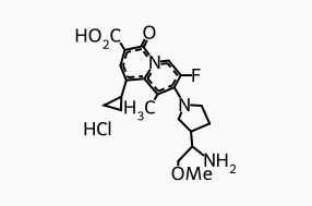 COCC(N)C1CCN(c2c(F)cn3c(=O)c(C(=O)O)cc(C4CC4)c3c2C)C1.Cl